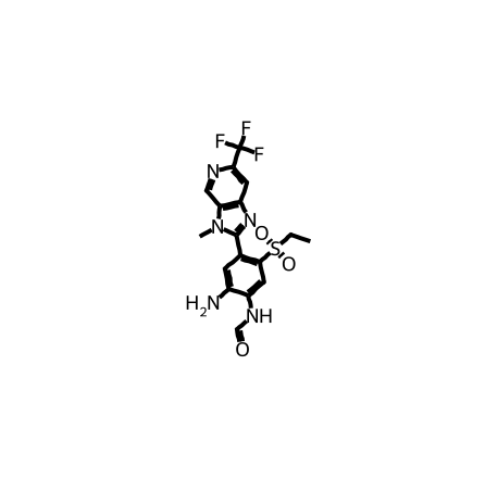 CCS(=O)(=O)c1cc(NC=O)c(N)cc1-c1nc2cc(C(F)(F)F)ncc2n1C